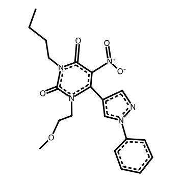 CCCCn1c(=O)c([N+](=O)[O-])c(-c2cnn(-c3ccccc3)c2)n(CCOC)c1=O